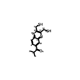 CC(C)C(=O)c1ccc2nc(CS)c(CS)nc2c1